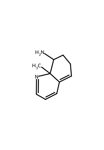 CC12N=CC=CC1=CCCC2N